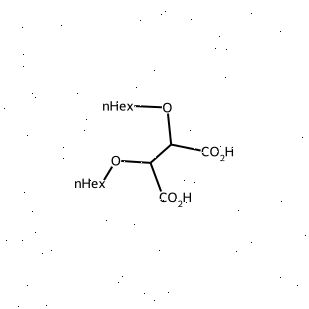 CCCCCCOC(C(=O)O)C(OCCCCCC)C(=O)O